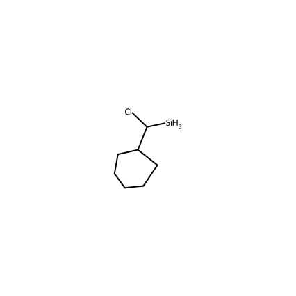 [SiH3]C(Cl)C1CCCCC1